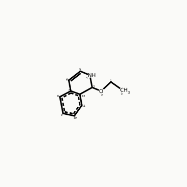 CCOC1NC=Cc2[c]cccc21